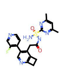 Cc1cc(C)nc(S(N)(=O)=NC(=O)Cc2c(-c3ccncc3F)cnc3c2CC3)n1